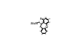 CNC[C@@H]1Cc2ccccc2Oc2cccc(F)c21